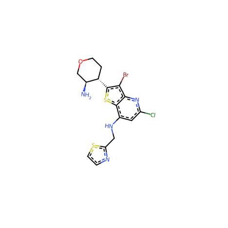 N[C@H]1COCC[C@@H]1c1sc2c(NCc3nccs3)cc(Cl)nc2c1Br